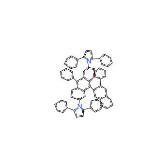 c1ccc(-c2cc3ccccc3cc2-c2c3ccc(-n4c(-c5ccccc5)ccc4-c4ccccc4)cc3c(-c3ccccc3)c3ccc(-n4c(-c5ccccc5)ccc4-c4ccccc4)cc23)cc1